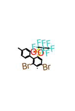 Cc1ccc(-c2c(Br)[c]c(Br)cc2S(=O)(=O)C(F)(F)C(F)(F)C(F)(F)F)cc1